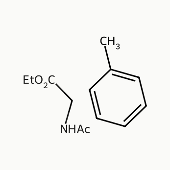 CCOC(=O)CNC(C)=O.Cc1ccccc1